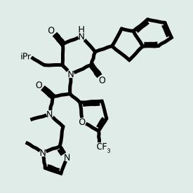 CC(C)CC1C(=O)NC(C2Cc3ccccc3C2)C(=O)N1C(C(=O)N(C)Cc1nccn1C)c1ccc(C(F)(F)F)o1